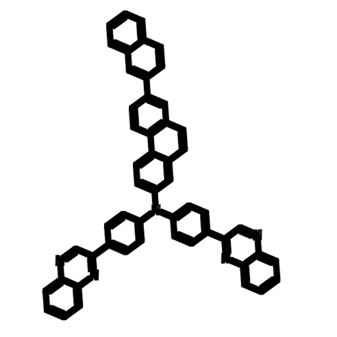 c1ccc2cc(-c3ccc4c(ccc5cc(N(c6ccc(-c7cnc8ccccc8n7)cc6)c6ccc(-c7cnc8ccccc8n7)cc6)ccc54)c3)ccc2c1